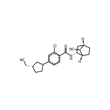 N#CC[C@H]1CCN(c2ccc(C(=O)N[C@@H]3C[C@@H]4CC[C@H]3N4C#N)c(Cl)c2)C1